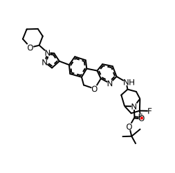 CC(C)(C)OC(=O)N1C2CC(Nc3ccc4c(n3)OCc3cc(-c5cnn(C6CCCCO6)c5)ccc3-4)CC1C(F)(F)C2